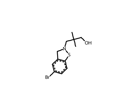 CC(C)(CO)CN1Cc2cc(Br)ccc2S1